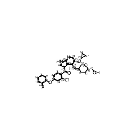 O=C(c1ccc(Oc2ccccc2F)cc1Cl)c1c[nH]c2ncc(OC3CC3)c(N[C@@H]3CC[C@@H](CO)OC3)c12